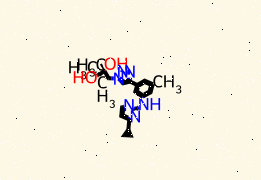 Cc1cc(Nc2nccc(C3CC3)n2)cc(-c2cn(C[C@@](C)(O)C(C)(C)O)nn2)c1